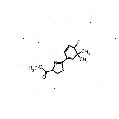 COC(=O)C1CSC(C2=CC(C)(C)C(F)C=C2)=N1